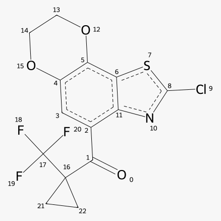 O=C(c1cc2c(c3sc(Cl)nc13)OCCO2)C1(C(F)(F)F)CC1